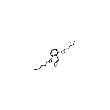 CCCCCOc1cccc(OCCCCC)c1C=O